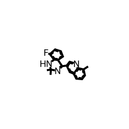 Cc1cccc2cc(C3=NC(C)(C)Nc4c(F)cccc43)cnc12